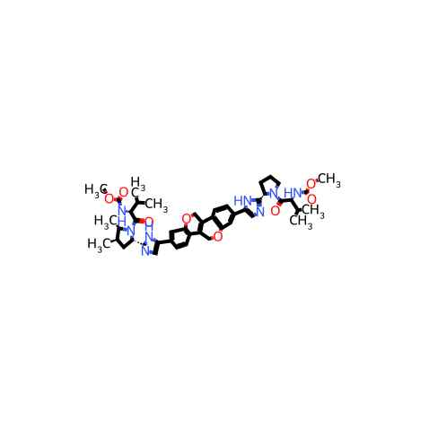 COC(=O)N[C@H](C(=O)N1CCC[C@H]1c1ncc(-c2ccc3c(c2)OCC2=C3COc3cc(-c4cnc([C@@H]5C[C@@H](C)[C@@H](C)N5C(=O)[C@@H](NC(=O)OC)C(C)C)[nH]4)ccc32)[nH]1)C(C)C